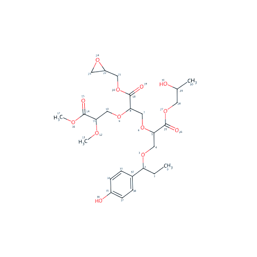 CCC(OCC(OCC(OCC(OC)C(=O)OC)C(=O)OCC1CO1)C(=O)OCC(C)O)c1ccc(O)cc1